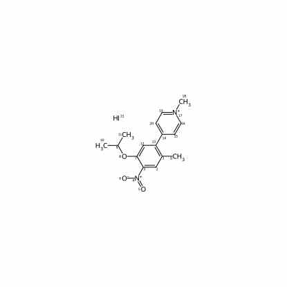 Cc1cc([N+](=O)[O-])c(OC(C)C)cc1-c1cc[n+](C)cc1.I